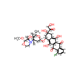 CO[C@H]1OCCN2[C@@H]1O[C@@H]1[C@H](C)O[C@@H](O[C@H]3C[C@](O)(C(=O)CO)Cc4c(O)c5c(c(O)c43)C(=O)c3c(F)cccc3C5=O)C[C@@H]12